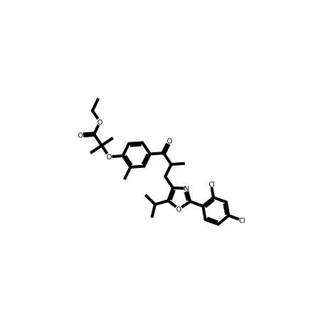 CCOC(=O)C(C)(C)Oc1ccc(C(=O)C(C)Cc2nc(-c3ccc(Cl)cc3Cl)oc2C(C)C)cc1C